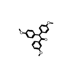 COc1ccc(C(C(=O)c2[c]ccc(OC)c2)c2ccc(OC)cc2)cc1